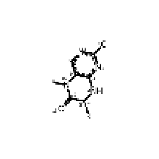 C[C@@H]1Nc2nc(Cl)ncc2N(C)C1=O